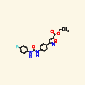 CCOC(=O)c1cc(-c2ccc(NC(=O)Nc3ccc(F)cc3)cc2)no1